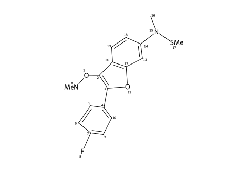 CNOc1c(-c2ccc(F)cc2)oc2cc(N(C)SC)ccc12